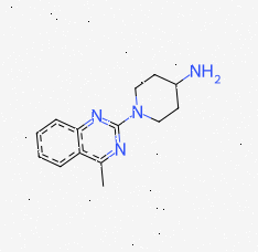 Cc1nc(N2CCC(N)CC2)nc2ccccc12